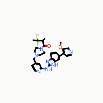 COc1cnccc1-c1ccc2nc(Nc3cc(CN4CCN(C(=O)C(C)C(C)(F)F)CC4)ccn3)[nH]c2c1